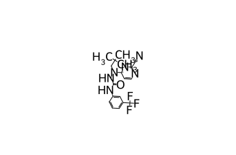 CC(C)(C)CN(NC(=O)Nc1cccc(C(F)(F)F)c1)c1ccnc(C#N)n1